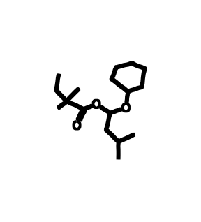 CCC(C)(C)C(=O)OC(CC(C)C)OC1CCCCC1